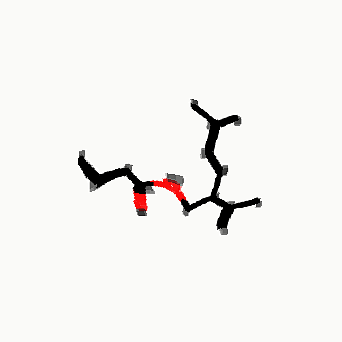 C=C(C)C(CC=C(C)C)COC(=O)C=CC